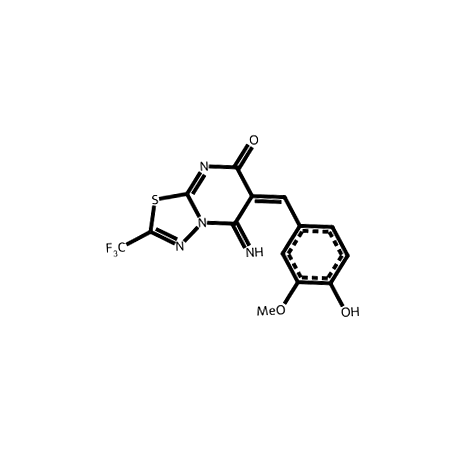 COc1cc(/C=C2\C(=N)N3N=C(C(F)(F)F)SC3=NC2=O)ccc1O